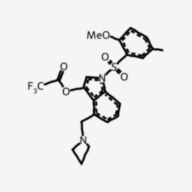 COc1ccc(C)cc1S(=O)(=O)n1cc(OC(=O)C(F)(F)F)c2c(CN3CCC3)cccc21